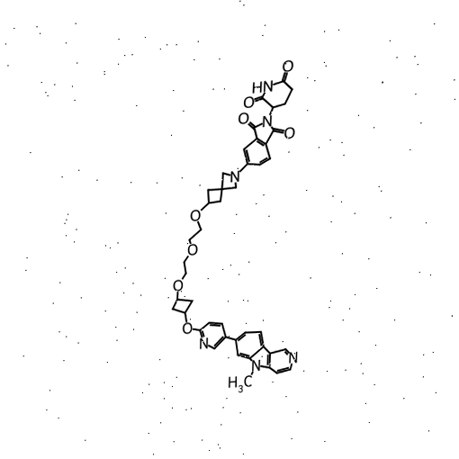 Cn1c2ccncc2c2ccc(-c3ccc(OC4CC(OCCOCCOC5CC6(C5)CN(c5ccc7c(c5)C(=O)N(C5CCC(=O)NC5=O)C7=O)C6)C4)nc3)cc21